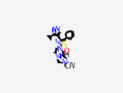 N#CN1CCN2CCN(c3nc(C4=CN=NC4C4CC4)c(C4CCCCC4)s3)C(=O)[C@H]2C1